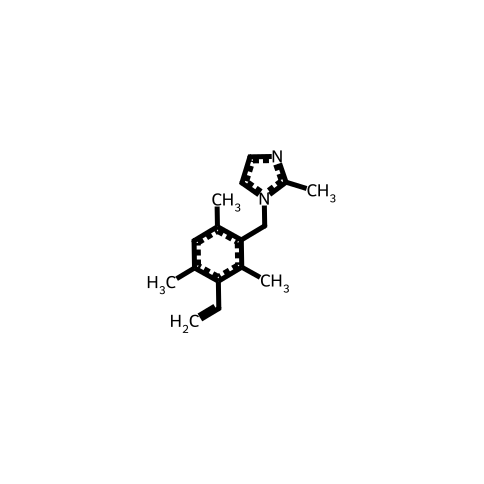 C=Cc1c(C)cc(C)c(Cn2ccnc2C)c1C